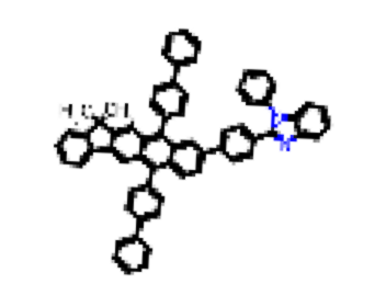 CC1(C)c2ccccc2-c2cc3c(-c4ccc(-c5ccccc5)cc4)c4ccc(-c5ccc(-c6nc7ccccc7n6-c6ccccc6)cc5)cc4c(-c4ccc(-c5ccccc5)cc4)c3cc21